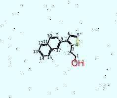 OCCc1sccc1-c1ccc2ccccc2c1